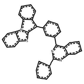 c1ccc(-c2nc(-c3cccc(-c4c5ccccc5n5c4sc4ccccc45)c3)c3ccccc3n2)cc1